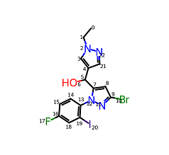 CCn1cc(C(O)c2cc(Br)nn2-c2ccc(F)cc2I)cn1